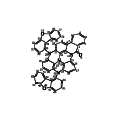 O=c1c2ccccc2c2ccc3c4c2n1c1cccc2c1-n4c1c(cccc1n3-c1cccc3oc4ccccc4c13)n2-c1cccc2oc3ccccc3c12